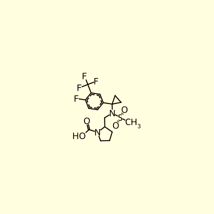 CS(=O)(=O)N(CC1CCCN1C(=O)O)C1(c2ccc(F)c(C(F)(F)F)c2)CC1